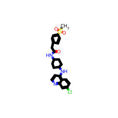 CS(=O)(=O)c1ccc(CC(=O)NC2CCC(Nc3ccnc4cc(Cl)ccc34)CC2)cc1